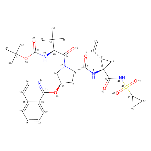 C=C[C@@H]1C[C@]1(NC(=O)[C@@H]1C[C@@H](Oc2nccc3ccccc23)CN1C(=O)[C@@H](NC(=O)OC(C)(C)C)C(C)(C)C)C(=O)NS(=O)(=O)C1CC1